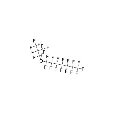 FC(F)(F)C(F)(F)C(F)(F)C(F)(F)C(F)(F)C(F)(F)C(F)(F)OC(F)(F)C(F)(C(F)(F)F)C(F)(F)F